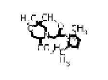 C[C@@H]1CC[C@@H](C)N1C(=O)CN1CC(C)(C)OCC1C(=O)O